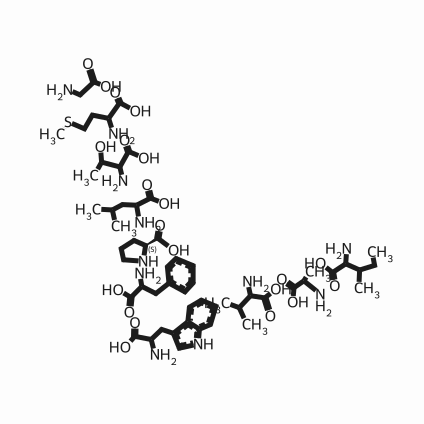 CC(C)C(N)C(=O)O.CC(C)CC(N)C(=O)O.CC(N)C(=O)O.CC(O)C(N)C(=O)O.CCC(C)C(N)C(=O)O.CSCCC(N)C(=O)O.NC(Cc1c[nH]c2ccccc12)C(=O)O.NC(Cc1ccccc1)C(=O)O.NCC(=O)O.O=C(O)[C@@H]1CCCN1